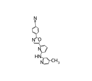 Cc1ccnc(Nc2cccc(-c3cnc(-c4ccc(C#N)cc4)o3)n2)c1